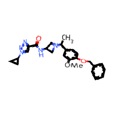 COc1cc(C(C)N2CC(NC(=O)c3cn(C4CC4)nn3)C2)ccc1OCc1ccccc1